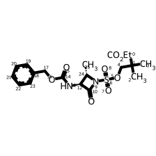 CCOC(=O)C(C)(C)COS(=O)(=O)N1C(=O)[C@@H](NC(=O)OCc2ccccc2)[C@@H]1C